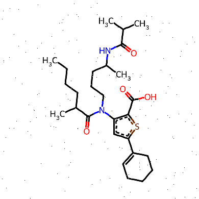 CCCCC(C)C(=O)N(CCCC(C)NC(=O)C(C)C)c1cc(C2=CCCCC2)sc1C(=O)O